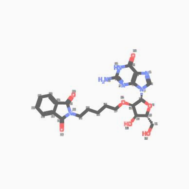 Nc1nc2c(ncn2[C@@H]2O[C@H](CO)[C@@H](O)[C@H]2OCCCCCN2C(=O)c3ccccc3C2=O)c(=O)[nH]1